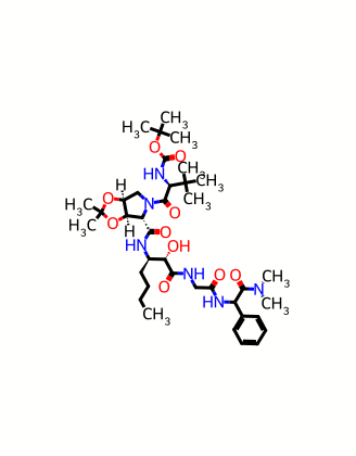 CCCC[C@@H](NC(=O)[C@@H]1[C@H]2OC(C)(C)O[C@H]2CN1C(=O)[C@@H](NC(=O)OC(C)(C)C)C(C)(C)C)[C@H](O)C(=O)NCC(=O)NC(C(=O)N(C)C)c1ccccc1